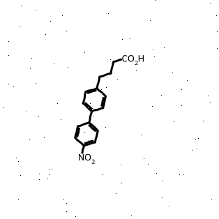 O=C(O)CCCc1ccc(-c2ccc([N+](=O)[O-])cc2)cc1